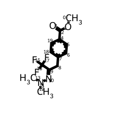 COC(=O)c1ccc(C/C(=N/N(C)C)C(F)(F)F)cc1